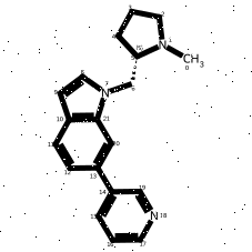 CN1CCC[C@H]1Cn1ccc2ccc(-c3cccnc3)cc21